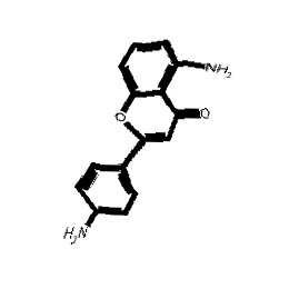 Nc1ccc(-c2cc(=O)c3c(N)cccc3o2)cc1